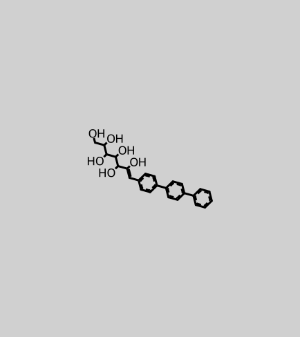 OCC(O)C(O)C(O)C(O)C(O)=Cc1ccc(-c2ccc(-c3ccccc3)cc2)cc1